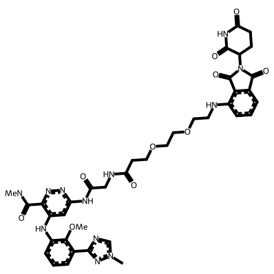 CNC(=O)c1nnc(NC(=O)CNC(=O)CCOCCOCCNc2cccc3c2C(=O)N(C2CCC(=O)NC2=O)C3=O)cc1Nc1cccc(-c2ncn(C)n2)c1OC